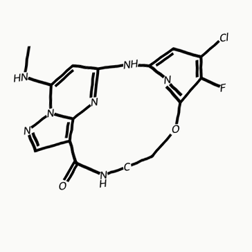 CNc1cc2nc3c(cnn13)C(=O)NCCOc1nc(cc(Cl)c1F)N2